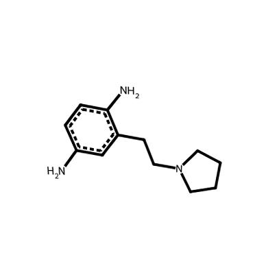 Nc1ccc(N)c(CCN2CCCC2)c1